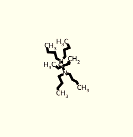 C=C[Si](CC)(N(CCCC)CCCC)N(CCCC)CCCC